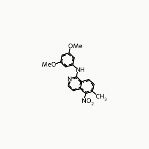 COc1cc(Nc2nccc3c([N+](=O)[O-])c(C)ccc23)cc(OC)c1